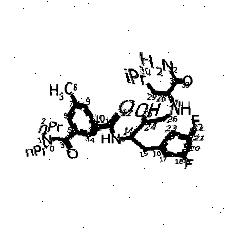 CCCN(CCC)C(=O)c1cc(C)cc(C(=O)NC(Cc2cc(F)cc(F)c2)C(O)CNC(CC(C)C)C(N)=O)c1